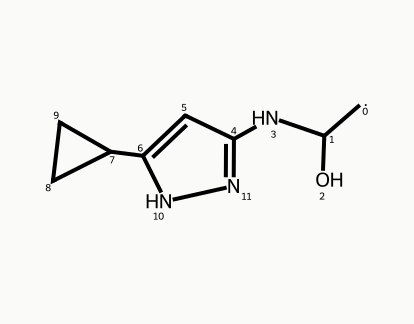 [CH2]C(O)Nc1cc(C2CC2)[nH]n1